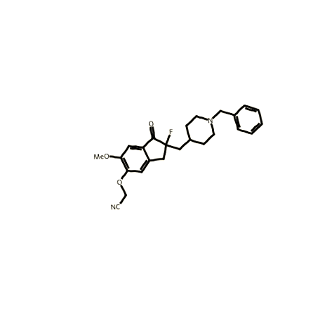 COc1cc2c(cc1OCC#N)CC(F)(CC1CCN(Cc3ccccc3)CC1)C2=O